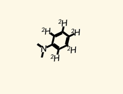 [2H]c1c([2H])c([2H])c(N(C)C)c([2H])c1[2H]